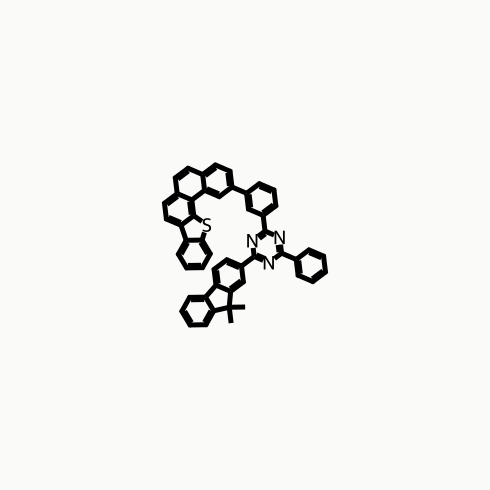 CC1(C)c2ccccc2-c2ccc(-c3nc(-c4ccccc4)nc(-c4cccc(-c5ccc6ccc7ccc8c9ccccc9sc8c7c6c5)c4)n3)cc21